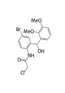 COc1cccc(C(O)c2cc(Br)ccc2NC(=O)CCl)c1OC